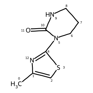 Cc1csc(N2CCCNC2=O)n1